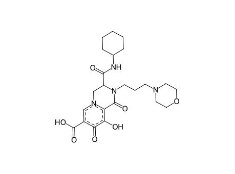 O=C(O)c1cn2c(c(O)c1=O)C(=O)N(CCCN1CCOCC1)C(C(=O)NC1CCCCC1)C2